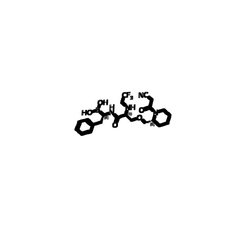 N#CCC(=O)N1CCCC[C@@H]1COC[C@H](NCC(F)(F)F)C(=O)N[C@@H](Cc1ccccc1)B(O)O